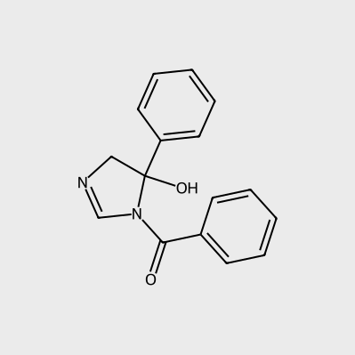 O=C(c1ccccc1)N1C=NCC1(O)c1ccccc1